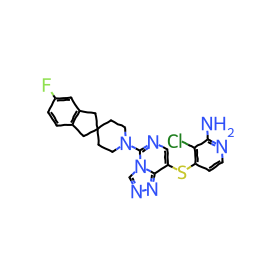 Nc1nccc(Sc2cnc(N3CCC4(CC3)Cc3ccc(F)cc3C4)n3cnnc23)c1Cl